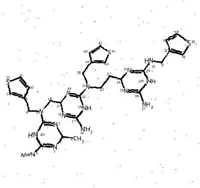 CNC1=NC(C)N=C(N(Cc2ccsc2)CC2N=C(N)NC(N(CCC3N=C(N)NC(NCc4ccsc4)=N3)Cc3ccsc3)=N2)N1